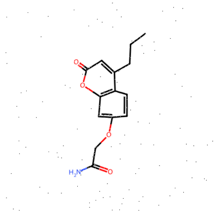 CCCc1cc(=O)oc2cc(OCC(N)=O)ccc12